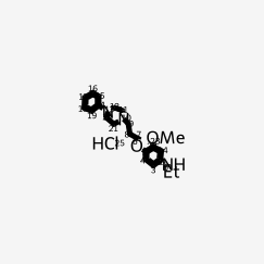 CCNc1ccc(OCCCN2CCN(c3ccccc3)CC2)c(OC)c1.Cl